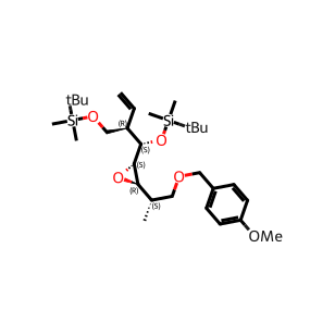 C=C[C@H](CO[Si](C)(C)C(C)(C)C)[C@H](O[Si](C)(C)C(C)(C)C)[C@H]1O[C@@H]1[C@@H](C)COCc1ccc(OC)cc1